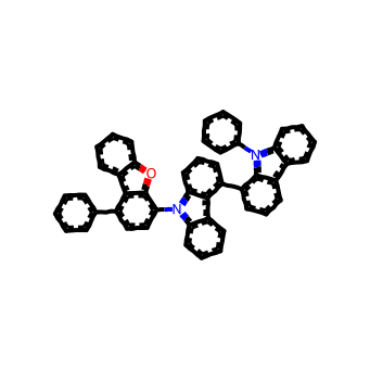 c1ccc(-c2ccc(-n3c4ccccc4c4c(-c5cccc6c7ccccc7n(-c7ccccc7)c56)cccc43)c3oc4ccccc4c23)cc1